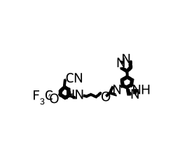 N#CCc1cc(CNCCCCOC2CN(c3cc(-c4ccnnc4)cc4[nH]ncc34)C2)cc(OC(F)(F)F)c1